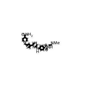 CNCCNS(=O)(=O)c1ccc(Nc2cncc(-c3csc(CN4CCC(C(N)=O)CC4)c3)n2)cc1